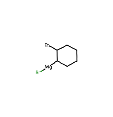 CCC1CCCC[CH]1[Mg][Br]